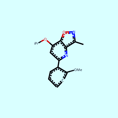 COc1ccccc1-c1cc(OC(C)C)c2onc(C)c2n1